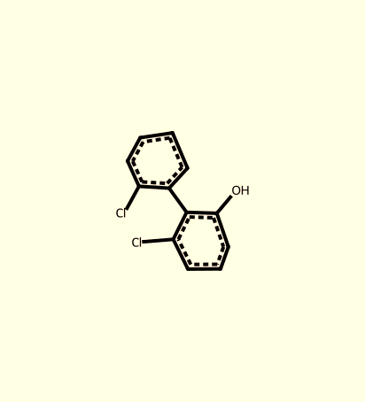 Oc1cccc(Cl)c1-c1ccccc1Cl